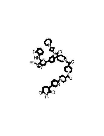 CC(C)n1cnc2cc(-c3ccc4c(c3)N([C@H]3C[C@@H](N5CCCCC5)C3)C(=O)C43CCN(C(=O)C4CCN(C(=O)C5CCN(c6ccc(C7CCC(=O)NC7=O)cn6)CC5)CC4)CC3)nc(Nc3ccccc3F)c21